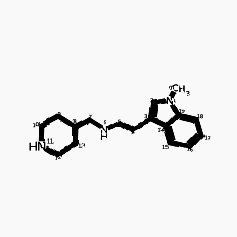 Cn1cc(CCNCC2CCNCC2)c2ccccc21